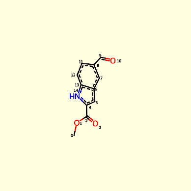 COC(=O)c1cc2cc(C=O)ccc2[nH]1